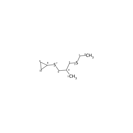 CCSCC(C)CSC1CC1